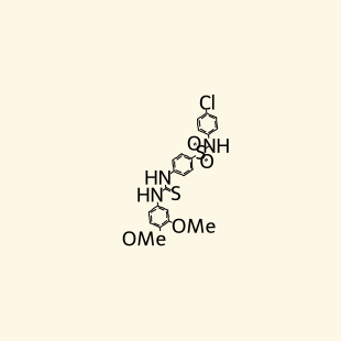 COc1ccc(NC(=S)Nc2ccc(S(=O)(=O)Nc3ccc(Cl)cc3)cc2)cc1OC